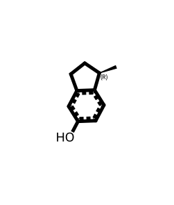 C[C@@H]1CCc2cc(O)ccc21